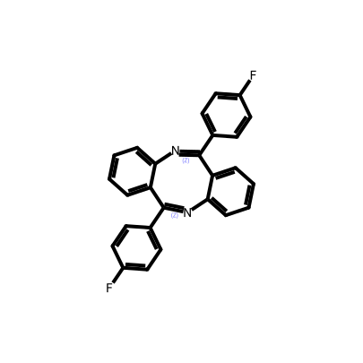 Fc1ccc(/C2=N/c3ccccc3/C(c3ccc(F)cc3)=N\c3ccccc32)cc1